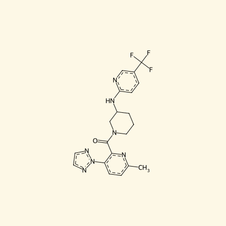 Cc1ccc(-n2nccn2)c(C(=O)N2CCCC(Nc3ccc(C(F)(F)F)cn3)C2)n1